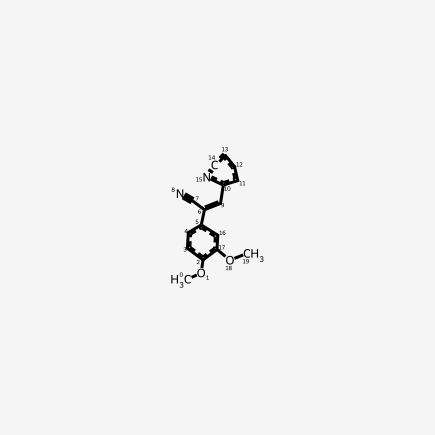 COc1ccc(C(C#N)=Cc2ccccn2)cc1OC